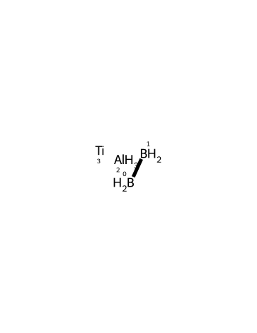 BB.[AlH3].[Ti]